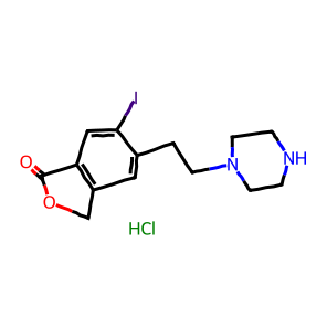 Cl.O=C1OCc2cc(CCN3CCNCC3)c(I)cc21